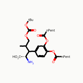 CCCCCC(=O)Oc1ccc(C(C(C)COC(=O)OC(C)(C)C)[C@H](N)C(=O)O)cc1OC(=O)CCCCC